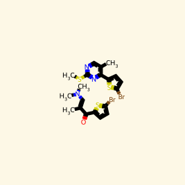 CC(=CN(C)C)C(=O)c1ccc(Br)s1.CSc1ncc(C)c(-c2ccc(Br)s2)n1